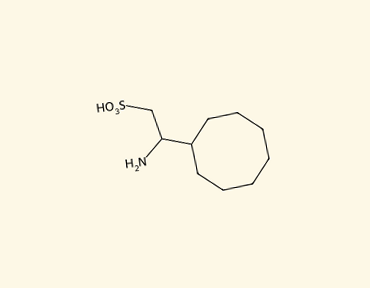 NC(CS(=O)(=O)O)C1CCCCCCC1